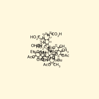 CCC(C)C(OC(C)=O)C(C)C(OC(C)=O)C(CC(CNOCCCC1CN(CC(=O)O)CCN(CC(=O)O)C1N(COC=O)CC(=O)O)(CNOCC(OC(C)=O)C(C)C(OC(C)=O)C(C)COC(C)=O)CNC(=O)C(OC(C)=O)C(OC(C)=O)C(OC(C)=O)C(CC)OC(C)=O)N=O